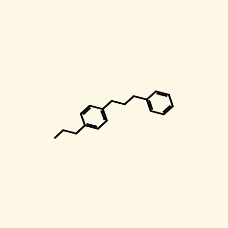 CCCc1ccc(CCCc2ccccc2)cc1